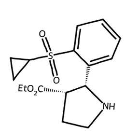 CCOC(=O)[C@H]1CCN[C@H]1c1ccccc1S(=O)(=O)C1CC1